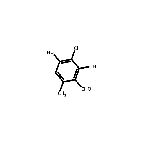 Cc1cc(O)c(Cl)c(O)c1C=O